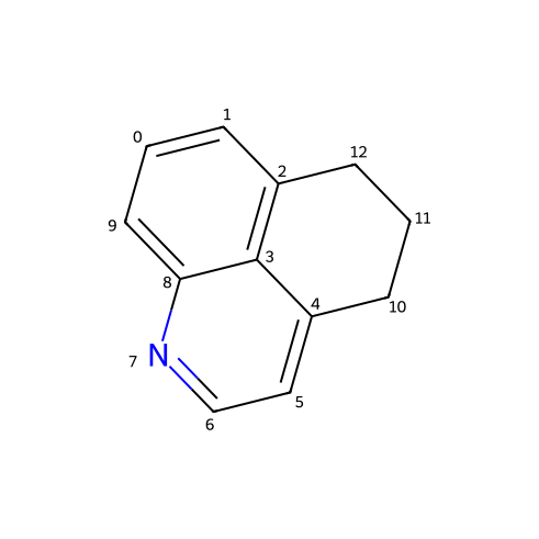 c1cc2c3c(ccnc3c1)CCC2